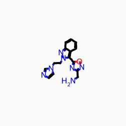 NCc1noc(-c2c3ccccc3nn2CCn2ccnc2)n1